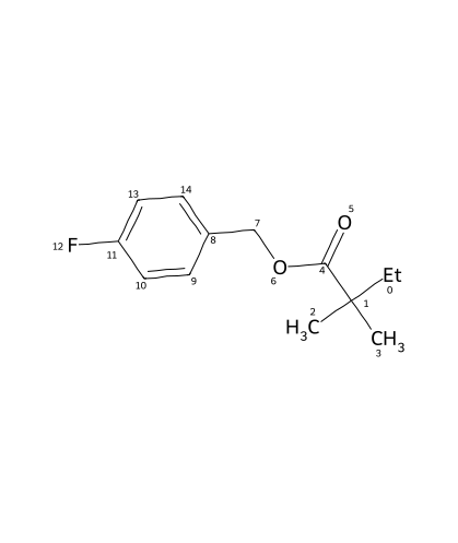 CCC(C)(C)C(=O)OCc1ccc(F)cc1